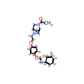 CC(=O)N1CC2CC1CN2CCOc1ccc(Oc2nc3cccc(F)c3s2)cc1